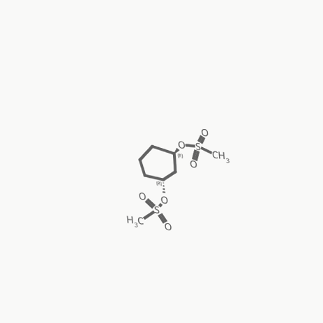 CS(=O)(=O)O[C@@H]1CCC[C@@H](OS(C)(=O)=O)C1